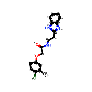 O=C(COc1ccc(Cl)c(C(F)(F)F)c1)NCCc1nc2ccccc2[nH]1